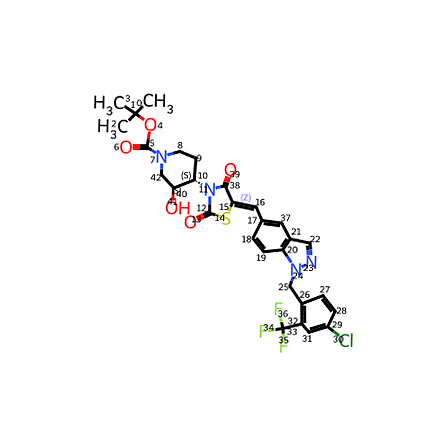 CC(C)(C)OC(=O)N1CC[C@H](N2C(=O)S/C(=C\c3ccc4c(cnn4Cc4ccc(Cl)cc4C(F)(F)F)c3)C2=O)[C@@H](O)C1